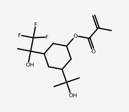 C=C(C)C(=O)OC1CC(C(C)(C)O)CC(C(C)(O)C(F)(F)F)C1